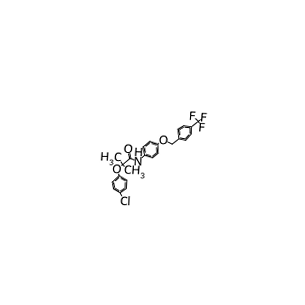 CC(C)(Oc1ccc(Cl)cc1)C(=O)Nc1ccc(OCc2ccc(C(F)(F)F)cc2)cc1